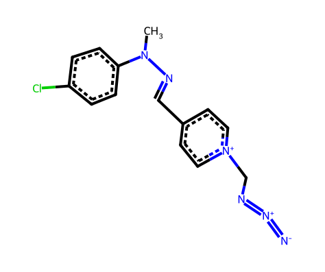 CN(N=Cc1cc[n+](CN=[N+]=[N-])cc1)c1ccc(Cl)cc1